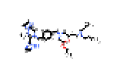 CCCN(CCC)CCCCN(CC(=O)OCC)Cc1ccc(CN(Cc2ncc[nH]2)C(C)c2ncc[nH]2)cc1